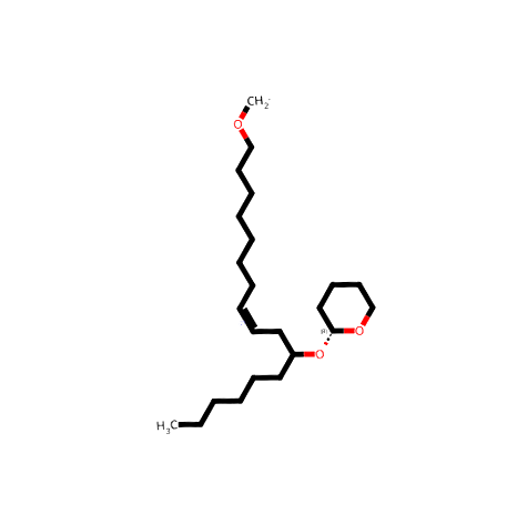 [CH2]OCCCCCCC/C=C\CC(CCCCCC)O[C@@H]1CCCCO1